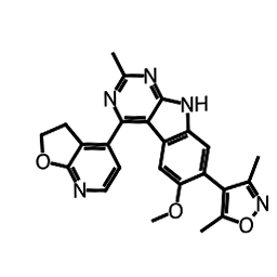 COc1cc2c(cc1-c1c(C)noc1C)[nH]c1nc(C)nc(-c3ccnc4c3CCO4)c12